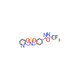 CS(=O)(=O)N(Cc1ccc(-c2nnc(C(F)(F)F)o2)cc1)Cc1ccccn1